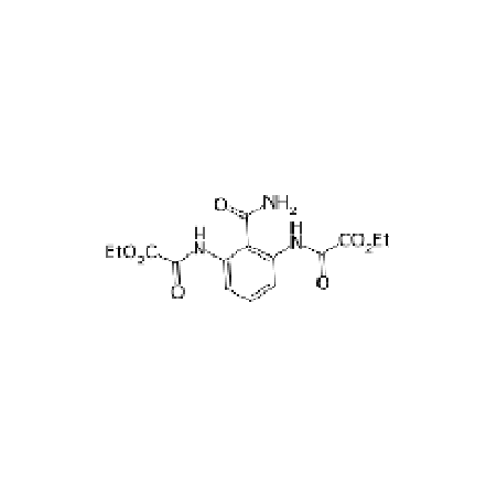 CCOC(=O)C(=O)Nc1cccc(NC(=O)C(=O)OCC)c1C(N)=O